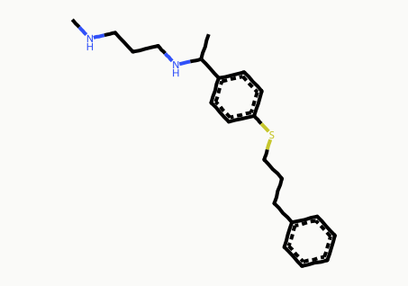 CNCCCNC(C)c1ccc(SCCCc2ccccc2)cc1